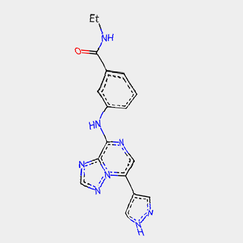 CCNC(=O)c1cccc(Nc2ncc(-c3cn[nH]c3)n3ncnc23)c1